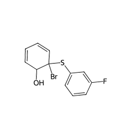 OC1C=CC=CC1(Br)Sc1cccc(F)c1